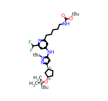 CC(C)(C)OC(=O)NCCCCCc1cc(Nc2cc([C@H]3CC[C@@H](O[Si](C)(C)C(C)(C)C)C3)nn2C(C)(C)C)cc(C(F)F)n1